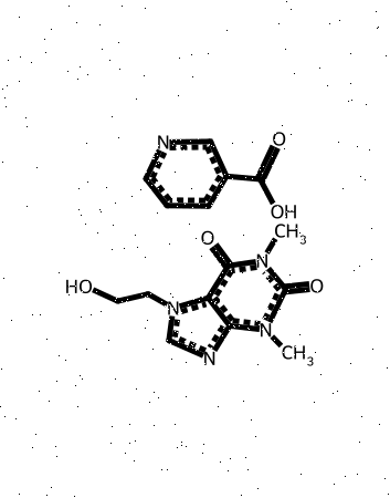 Cn1c(=O)c2c(ncn2CCO)n(C)c1=O.O=C(O)c1cccnc1